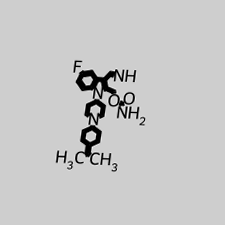 CC(C)=C1CCC(N2CCC(n3c(COC(N)=O)c(C=N)c4cc(F)ccc43)CC2)CC1